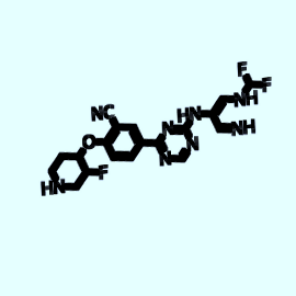 N#Cc1cc(-c2ncnc(N/C(C=N)=C/NC(F)F)n2)ccc1OC1CCNCC1F